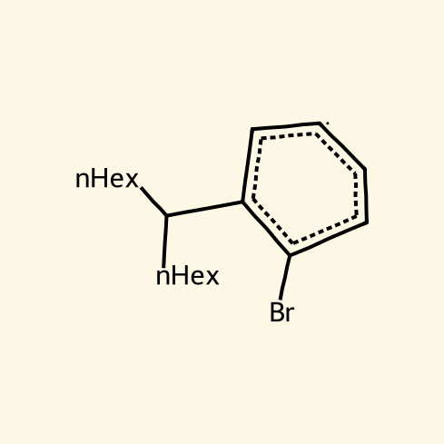 CCCCCCC(CCCCCC)c1c[c]ccc1Br